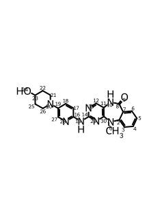 CN1c2ccccc2C(=O)Nc2cnc(Nc3ccc(N4CCC(O)CC4)cn3)nc21